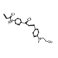 C=CC(=O)Nc1ccc(C(=O)C=Cc2ccc(N(C)CCO)cc2)cc1